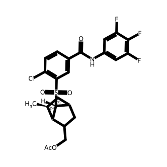 CC(=O)OCC1CC2C[C@H](C)C1[C@@H]2S(=O)(=O)c1cc(C(=O)Nc2cc(F)c(F)c(F)c2)ccc1Cl